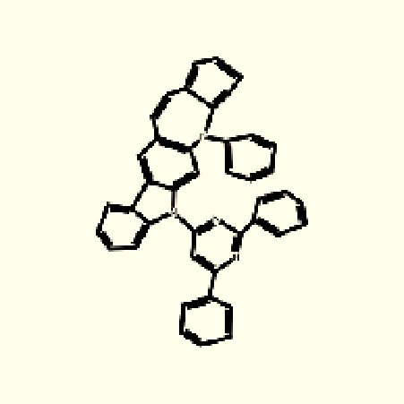 C1=Cc2cc3c4ccccc4n(-c4cc(-c5ccccc5)nc(-c5ccccc5)n4)c3cc2N(c2ccccc2)c2ccccc21